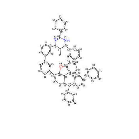 CC1C(c2cccc(-c3cccc(C4=CC=C(C(c5ccccc5)c5ccc(-c6ccccc6)cc5)C5c6ccccc6OC45)c3)c2)N=C(c2ccccc2)NC1c1ccccc1